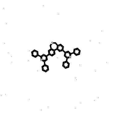 c1ccc(-c2cc(-c3ccc4c(c3)CSCc3ccc(-c5cc(-c6ccccc6)nc(-c6ccccc6)c5)cc3-4)cc(-c3ccccc3)n2)cc1